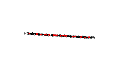 OCCOCCOCCOCCOCCOCCOCCOCCOCCOCCOCCOCCOCCOCCOCCOCCOCCOCCOCCOCCOCCOCCOCCOCCOCCOCCOCCOCCO